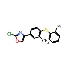 CC(C)c1ccccc1Sc1ccc(-c2coc(Cl)n2)cc1C(F)(F)F